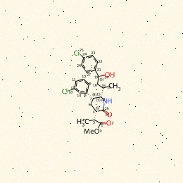 COC(=O)C(C)[C@@H]1C[C@H](c2cccc(Cl)c2)[C@H](C(C)C[C@H](O)c2ccc(Cl)cc2)NC1=O